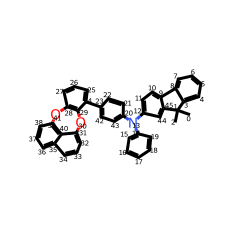 CC1(C)c2ccccc2-c2ccc(N(c3ccccc3)c3ccc(-c4cccc5c4Oc4cccc6cccc(c46)O5)cc3)cc21